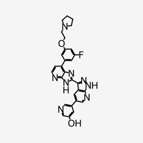 Oc1cncc(-c2cnc3[nH]nc(-c4nc5c(-c6cc(F)cc(OCCN7CCCC7)c6)ccnc5[nH]4)c3c2)c1